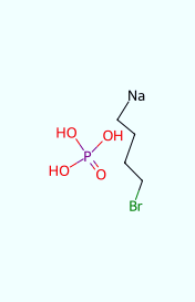 O=P(O)(O)O.[Na][CH2]CCCBr